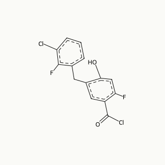 O=C(Cl)c1cc(Cc2cccc(Cl)c2F)c(O)cc1F